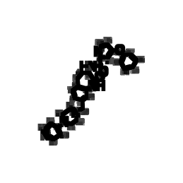 O=C(N[C@H]1CCc2ccc(CN3CCN(c4ccncc4)CC3)cc2NC1=O)c1cc(Oc2ccccc2)ccn1